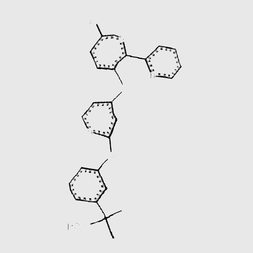 CCc1ccc(Oc2ccnc(Nc3cccc(C(C)(C)C(=O)O)c3)c2)c(-c2ccccn2)n1